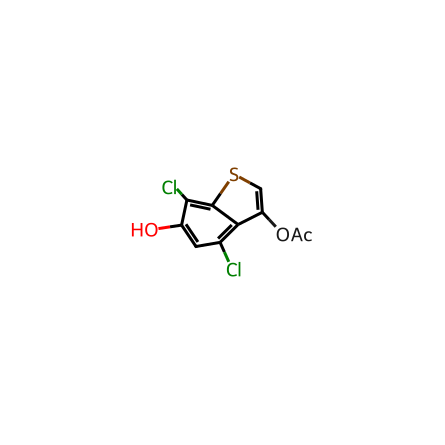 CC(=O)Oc1csc2c(Cl)c(O)cc(Cl)c12